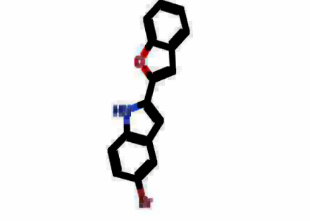 Brc1ccc2[nH]c(-c3cc4ccccc4o3)cc2c1